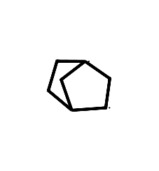 [CH]1C[C]2CCC1C2